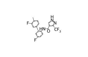 Cc1ccc(-c2cc(F)ccc2NC(=O)c2c[nH]nc2C(F)(F)F)cc1F